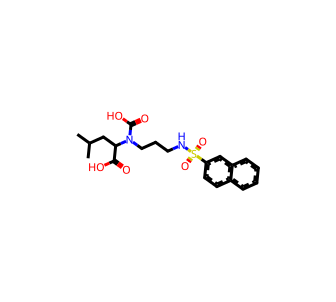 CC(C)CC(C(=O)O)N(CCCNS(=O)(=O)c1ccc2ccccc2c1)C(=O)O